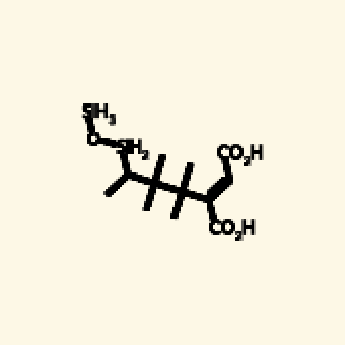 CC([SiH2]O[SiH3])C(C)(C)C(C)(C)/C(=C\C(=O)O)C(=O)O